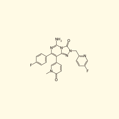 Cn1cc(-c2c(-c3ccc(F)cc3)nc(N)n3c(=O)n(Cc4ccc(F)cn4)nc23)ccc1=O